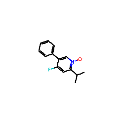 CC(C)c1cc(F)c(-c2ccccc2)c[n+]1[O-]